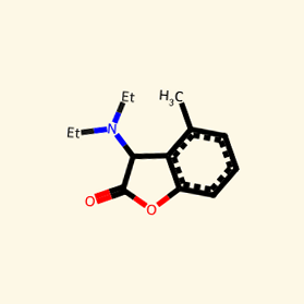 CCN(CC)C1C(=O)Oc2cccc(C)c21